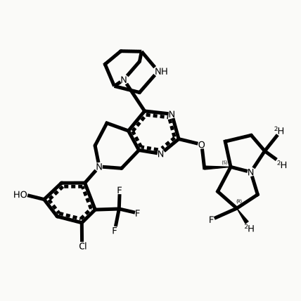 [2H]C1([2H])CC[C@@]2(COc3nc4c(c(N5CC6CCC5CN6)n3)CCN(c3cc(O)cc(Cl)c3C(F)(F)F)C4)C[C@@]([2H])(F)CN12